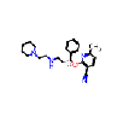 Cc1ccc(C#N)c(O[C@H](CCNCCN2CCCCC2)c2ccccc2)n1